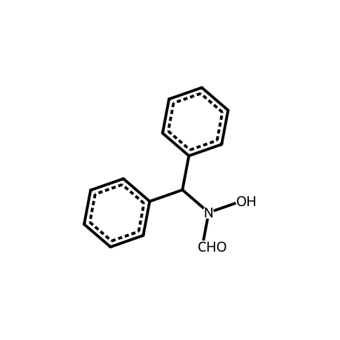 O=CN(O)C(c1ccccc1)c1ccccc1